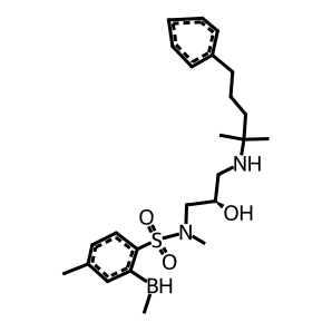 CBc1cc(C)ccc1S(=O)(=O)N(C)C[C@H](O)CNC(C)(C)CCCc1ccccc1